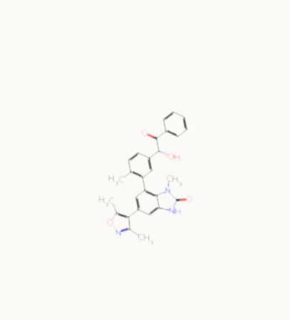 Cc1ccc(C(O)C(=O)c2ccccc2)cc1-c1cc(-c2c(C)noc2C)cc2[nH]c(=O)n(C)c12